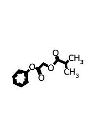 CC(C)C(=O)OCC(=O)Oc1ccccc1